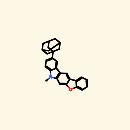 Cn1c2ccc(C34CC5CC(CC(C5)C3)C4)cc2c2cc3c(cc21)oc1ccccc13